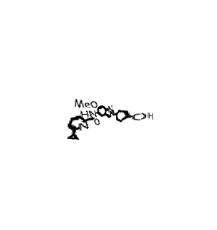 COc1cc2nn(C3CCC(O)CC3)cc2cc1NC(=O)c1cccc(C2CC2)n1